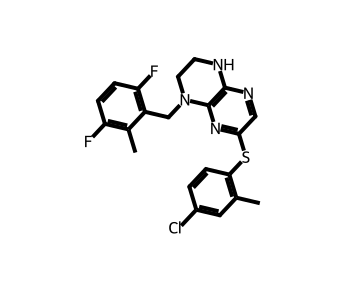 Cc1cc(Cl)ccc1Sc1cnc2c(n1)N(Cc1c(F)ccc(F)c1C)CCN2